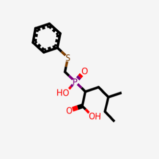 CCC(C)CC(C(=O)O)P(=O)(O)CSc1ccccc1